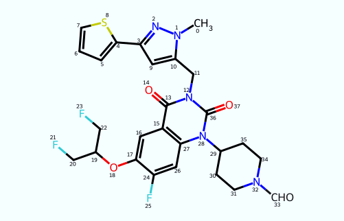 Cn1nc(-c2cccs2)cc1Cn1c(=O)c2cc(OC(CF)CF)c(F)cc2n(C2CCN(C=O)CC2)c1=O